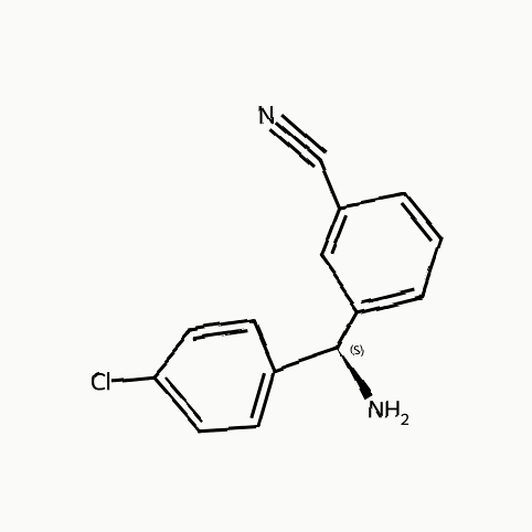 N#Cc1cccc([C@@H](N)c2ccc(Cl)cc2)c1